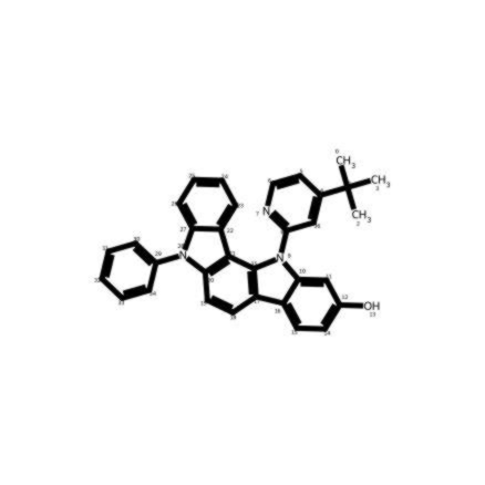 CC(C)(C)c1ccnc(-n2c3cc(O)ccc3c3ccc4c(c5ccccc5n4-c4ccccc4)c32)c1